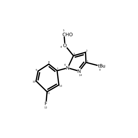 CC(C)(C)c1cc(OC=O)n(-c2cccc(F)c2)n1